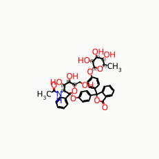 CC(=O)N[C@@H]1[C@@H](O)[C@@H](O)[C@@H](CO)O[C@@]1(Oc1ccc(C2(c3ccc(O[C@@H]4O[C@H](C)[C@@H](O)[C@H](O)[C@H]4O)cc3)OC(=O)c3ccccc32)cc1)c1ccccc1